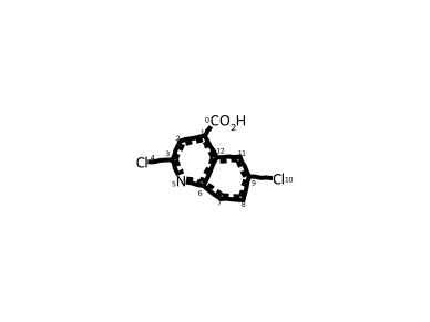 O=C(O)c1cc(Cl)nc2ccc(Cl)cc12